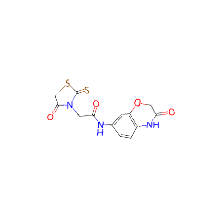 O=C(CN1C(=O)CSC1=S)Nc1ccc2c(c1)OCC(=O)N2